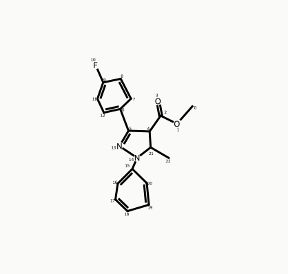 COC(=O)C1C(c2ccc(F)cc2)=NN(c2ccccc2)C1C